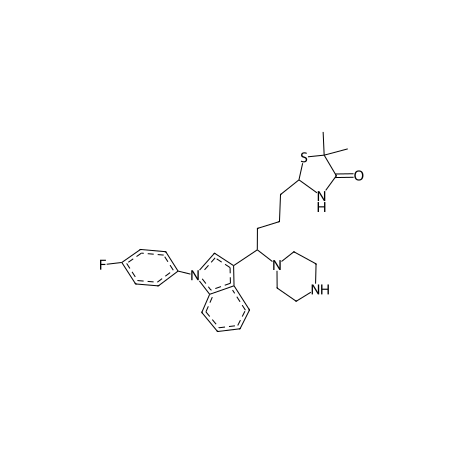 CC1(C)SC(CCCC(c2cn(-c3ccc(F)cc3)c3ccccc23)N2CCNCC2)NC1=O